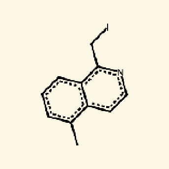 Cc1cccc2c(CI)nccc12